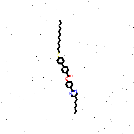 CCCCCCCCCCCCSc1ccc(-c2ccc(C(=O)Oc3ccc(-c4ncc(CCCCCC)cn4)cc3)cc2)cc1